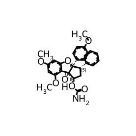 COc1ccc([C@@]23Oc4cc(OC)cc(OC)c4[C@]2(O)[C@H](OC(N)=O)C[C@H]3c2ccccc2)cc1